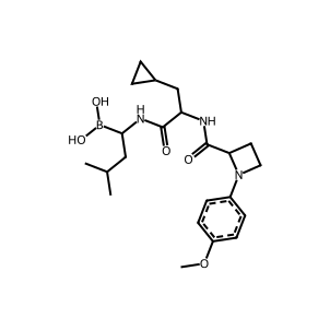 COc1ccc(N2CCC2C(=O)NC(CC2CC2)C(=O)NC(CC(C)C)B(O)O)cc1